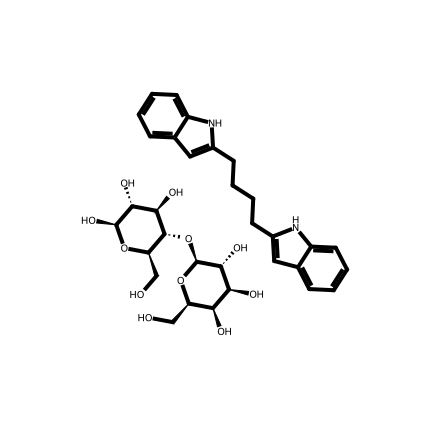 OC[C@H]1O[C@@H](O[C@H]2[C@H](O)[C@@H](O)[C@H](O)O[C@@H]2CO)[C@H](O)[C@@H](O)[C@H]1O.c1ccc2[nH]c(CCCCc3cc4ccccc4[nH]3)cc2c1